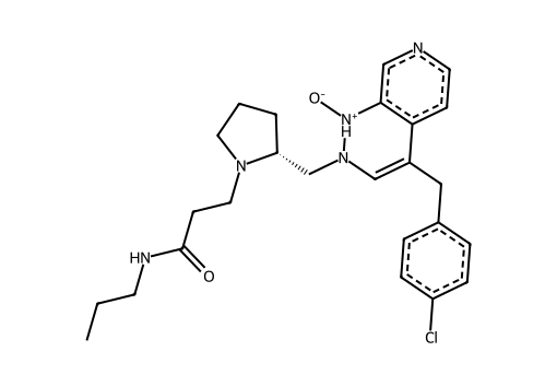 CCCNC(=O)CCN1CCC[C@@H]1CN1C=C(Cc2ccc(Cl)cc2)c2ccncc2[NH+]1[O-]